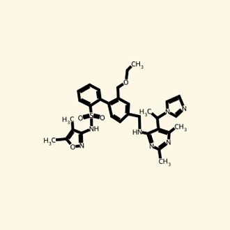 CCOCc1cc(CNc2nc(C)nc(C)c2C(C)n2ccnc2)ccc1-c1ccccc1S(=O)(=O)Nc1noc(C)c1C